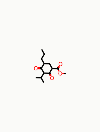 CCCC1CC(C(=O)OC)C(=O)C(C(C)C)C1=O